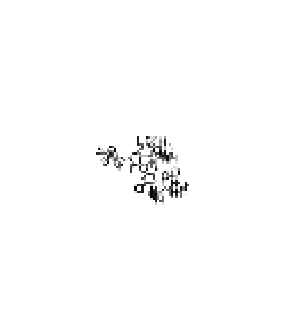 CC(C)(C)C[C@]1(c2ccc(-c3cnn(S(=O)(=O)C4CC4)c3)c(F)c2)NC(=N)N([C@H](COC(=O)NCC(F)(F)F)c2ccc(Cl)c(-n3ncnc3C(F)F)c2)C1=O